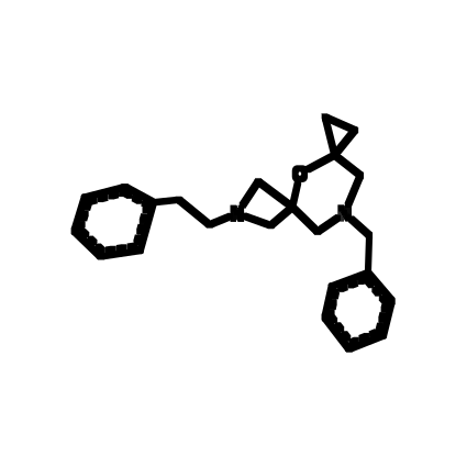 c1ccc(CCN2CC3(CN(Cc4ccccc4)CC4(CC4)O3)C2)cc1